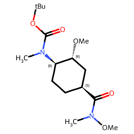 CO[C@@H]1C[C@@H](C(=O)N(C)OC)CC[C@H]1N(C)C(=O)OC(C)(C)C